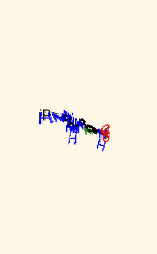 CC(C)Nc1cncc(-c2cnc3[nH]nc(-c4nc5c(-c6cc(F)cc(CNS(C)(=O)=O)c6)cccc5[nH]4)c3c2)c1